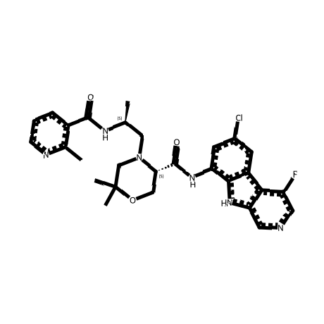 Cc1ncccc1C(=O)N[C@@H](C)CN1CC(C)(C)OC[C@H]1C(=O)Nc1cc(Cl)cc2c1[nH]c1cncc(F)c12